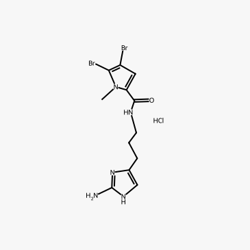 Cl.Cn1c(C(=O)NCCCc2c[nH]c(N)n2)cc(Br)c1Br